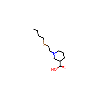 CCCCSCCN1CCCC(C(=O)O)C1